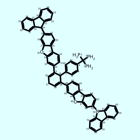 PC(P)(P)c1ccc(C2C(c3ccc4c(c3)oc3cc(C5c6ccccc6-c6ccccc65)ccc34)=CCC=C2c2ccc3c(c2)oc2cc(-n4c5ccccc5c5ccccc54)ccc23)cc1